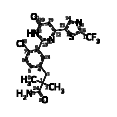 CC(C)(Cc1ccc(Cl)c(-c2nc(-c3cnc(C(F)(F)F)s3)cc(=O)[nH]2)c1)C(N)=O